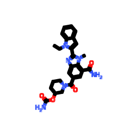 CCn1c(-c2nc3cc(C(=O)N4CCCC(OC(N)=O)C4)cc(C(N)=O)c3n2C)cc2ccccc21